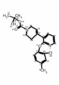 Cc1ccc(Oc2ncccc2C2=CCN(C(=O)OC(C)(C)C)CC2)c(Cl)c1